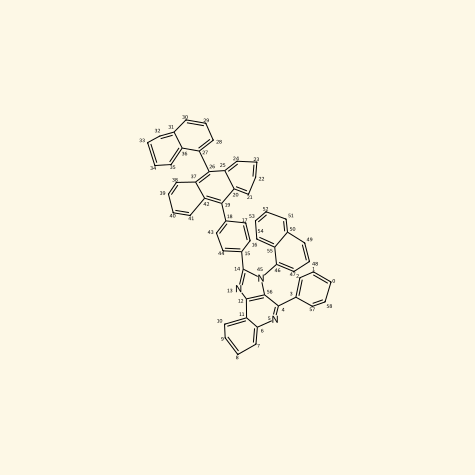 c1ccc(-c2nc3ccccc3c3nc(-c4ccc(-c5c6ccccc6c(-c6cccc7ccccc67)c6ccccc56)cc4)n(-c4cccc5ccccc45)c23)cc1